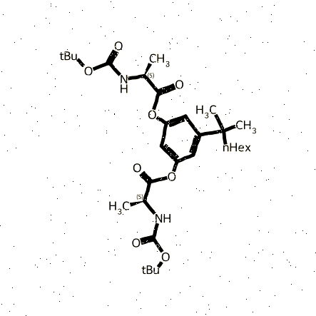 CCCCCCC(C)(C)c1cc(OC(=O)[C@H](C)NC(=O)OC(C)(C)C)cc(OC(=O)[C@H](C)NC(=O)OC(C)(C)C)c1